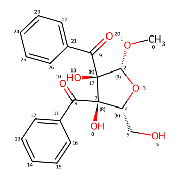 CO[C@@H]1O[C@H](CO)[C@](O)(C(=O)c2ccccc2)[C@]1(O)C(=O)c1ccccc1